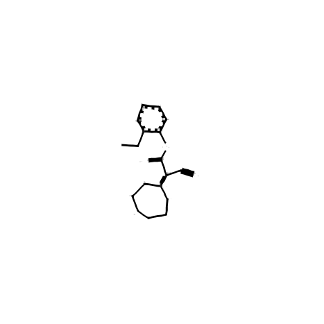 CCc1ccccc1NC(=O)C(C#N)=C1CCCCCC1